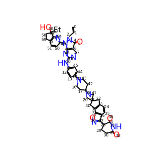 C=CCn1c(=O)c2cnc(Nc3ccc(N4CCC(N5CC6(Cc7ccc8c(C9CCC(=O)NC9=O)noc8c7C6)C5)CC4)cc3)nc2n1-c1ccc2c(n1)[C@](O)(CC)CC2